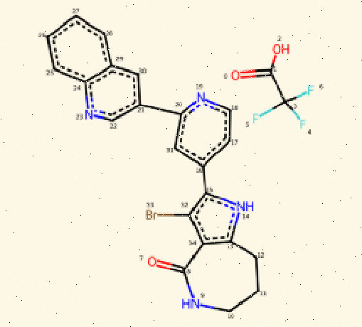 O=C(O)C(F)(F)F.O=C1NCCCc2[nH]c(-c3ccnc(-c4cnc5ccccc5c4)c3)c(Br)c21